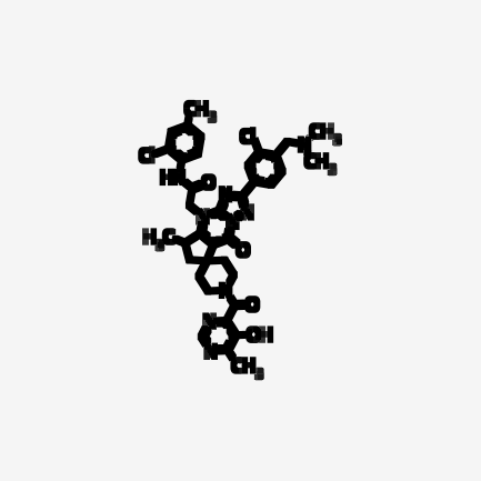 Cc1ccc(NC(=O)Cn2c3c(c(=O)n4nc(-c5ccc(CN(C)C)c(Cl)c5)nc24)C2(CCN(C(=O)c4ncnc(C)c4O)CC2)CC3C)c(Cl)c1